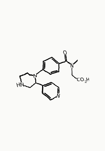 CN(CC(=O)O)C(=O)c1ccc(N2CCNCC2c2ccncc2)cc1